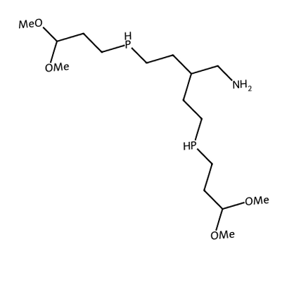 COC(CCPCCC(CN)CCPCCC(OC)OC)OC